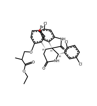 CCOC(=O)C(C)COc1ccc(Br)cc1[C@H]1CC(=O)N[C@@H](c2cc(Cl)ccc2Cl)[C@]12C(=O)Nc1cc(Cl)ccc12